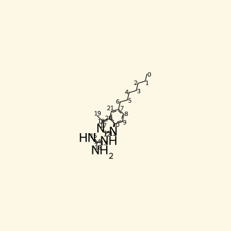 CCCCCCCc1ccc2nc(NC(=N)N)nc(C)c2c1